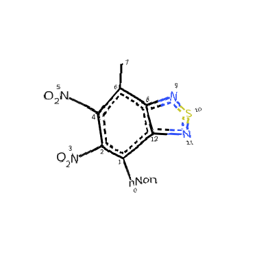 CCCCCCCCCc1c([N+](=O)[O-])c([N+](=O)[O-])c(C)c2nsnc12